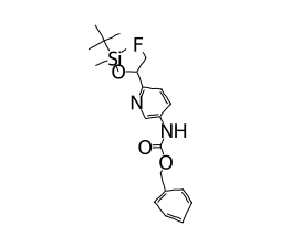 CC(C)(C)[Si](C)(C)OC(CF)c1ccc(NC(=O)OCc2ccccc2)cn1